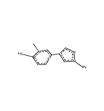 Cc1cc(-c2cnn(C(C)C)c2)ccc1S